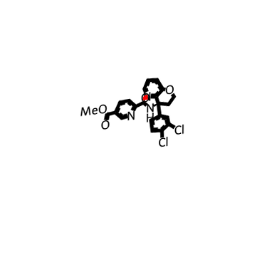 COC(=O)c1ccc(C(=O)N[C@]2(c3ccc(Cl)c(Cl)c3)CCOc3cccnc32)nc1